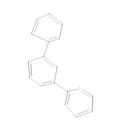 [c]1ccc(-c2cccc(-c3ccccn3)c2)cc1